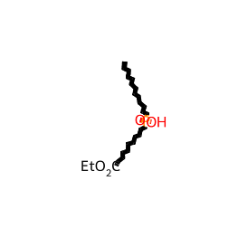 C=CCCCCCCCCCCCP(=O)(O)CCCCCCCCCCC(=O)OCC